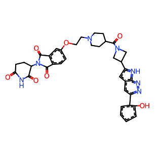 O=C1CCC(N2C(=O)c3ccc(OCCN4CCC(C(=O)N5CC(c6cc7cc(-c8ccccc8O)nnc7[nH]6)C5)CC4)cc3C2=O)C(=O)N1